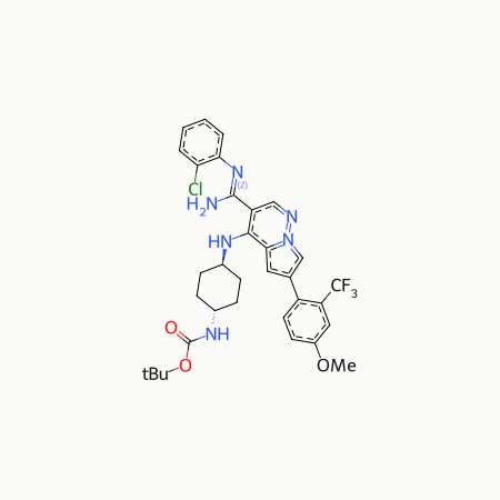 COc1ccc(-c2cc3c(N[C@H]4CC[C@H](NC(=O)OC(C)(C)C)CC4)c(/C(N)=N/c4ccccc4Cl)cnn3c2)c(C(F)(F)F)c1